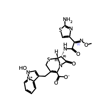 CO/N=C(\C(=O)N[C@@H]1C(=O)N2C(C(=O)[O-])=C(Cc3cn(O)[n+]4ccccc34)CS[C@H]12)c1csc(N)n1